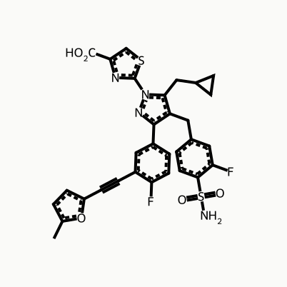 Cc1ccc(C#Cc2cc(-c3nn(-c4nc(C(=O)O)cs4)c(CC4CC4)c3Cc3ccc(S(N)(=O)=O)c(F)c3)ccc2F)o1